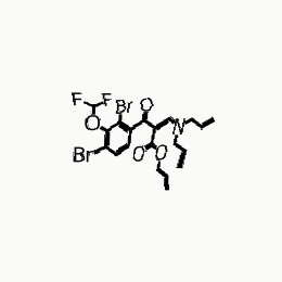 C=CCOC(=O)C(=CN(CC=C)CC=C)C(=O)c1ccc(Br)c(OC(F)F)c1Br